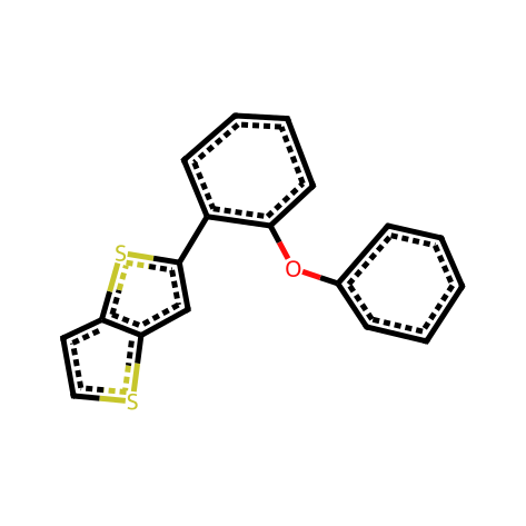 c1ccc(Oc2ccccc2-c2cc3sccc3s2)cc1